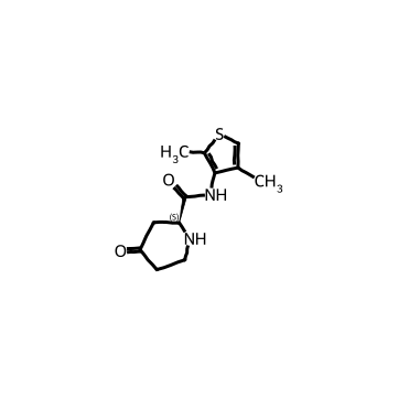 Cc1csc(C)c1NC(=O)[C@@H]1CC(=O)CCN1